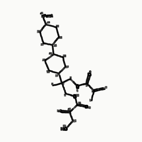 C=C(C)C(=O)OCC(C)(COC(=O)C(=C)CO)C1CCC(C2CCC(CCCCC)CC2)CC1